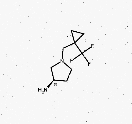 N[C@@H]1CCN(CC2(C(F)(F)F)CC2)C1